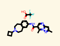 Cc1cc2ncc(C(=O)Nc3ccc4c(c3)CCN(C3CCC3)CC4)c(C)n2n1.O=C(O)C(F)(F)F